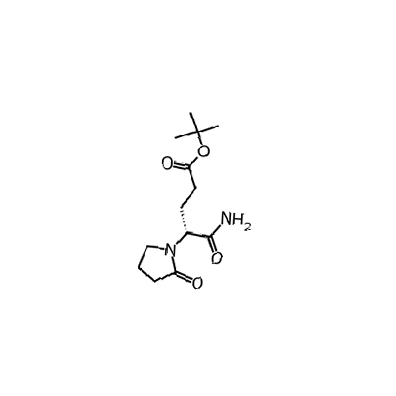 CC(C)(C)OC(=O)CC[C@H](C(N)=O)N1CCCC1=O